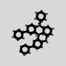 c1ccc(-c2ccc3c(c2)B2c4cc(-c5ccccc5)ccc4N(c4ccccc4)c4cccc(c42)S3)cc1